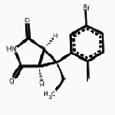 CC[C@]1(c2cc(Br)ccc2F)[C@@H]2C(=O)NC(=O)[C@@H]21